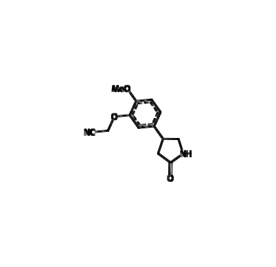 COc1ccc(C2CNC(=O)C2)cc1OCC#N